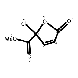 COC(=O)C1(Cl)C=CC(=O)O1